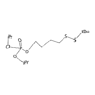 CC(C)OP(=O)(OCCCCSSC(C)(C)C)OC(C)C